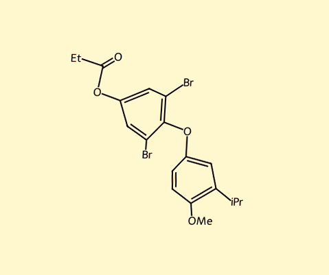 CCC(=O)Oc1cc(Br)c(Oc2ccc(OC)c(C(C)C)c2)c(Br)c1